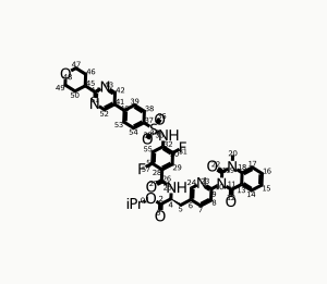 CC(C)OC(=O)[C@H](Cc1ccc(-n2c(=O)c3ccccc3n(C)c2=O)nc1)NC(=O)c1cc(F)c(NS(=O)(=O)c2ccc(-c3cnc(C4CCOCC4)nc3)cc2)cc1F